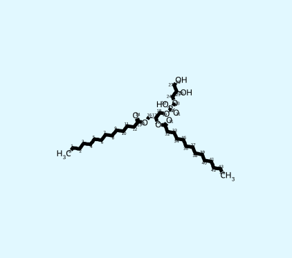 CCCCCCCCCCCCCC(=O)OC[C@H](COP(=O)(O)OC[C@@H](O)CO)OC(=O)CCCCCCCCCCCCC